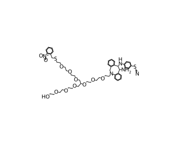 N#CSc1ccc(NC2c3ccccc3CN(CCOCCOCCOC(COCCOCCOCCO)COCCOCCOCCSCc3ccccc3[N+](=O)[O-])c3ccccc3C2N)cc1